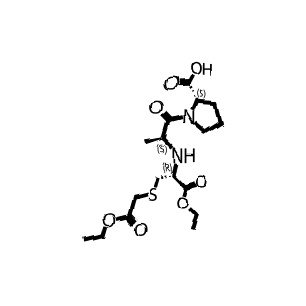 CCOC(=O)CSC[C@H](N[C@@H](C)C(=O)N1CCC[C@H]1C(=O)O)C(=O)OCC